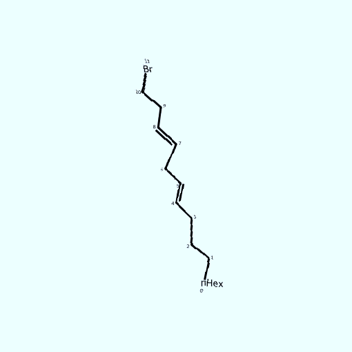 CCCCCCCCC/C=C/C/C=C/CCBr